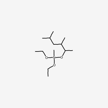 CCO[Si](C)(OCC)OC(C)C(C)CC(C)C